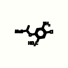 CSC(C)Oc1cc(N)c(Cl)cc1C(=O)O